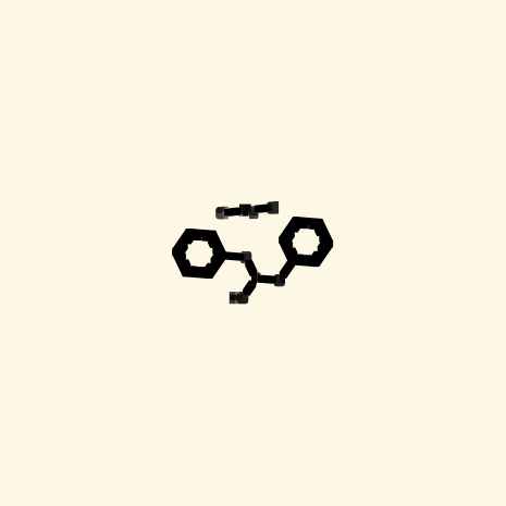 OP(Oc1ccccc1)Oc1ccccc1.[Cl][Mg][Cl]